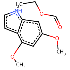 CCOC=O.COc1cc(OC)c2cc[nH]c2c1